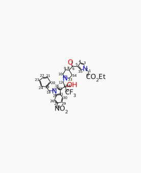 CCOC(=O)Cn1ccc(C(=O)C2CCN(CC(O)(c3cn(Cc4ccccc4)c4cc([N+](=O)[O-])ccc34)C(F)(F)F)CC2)c1